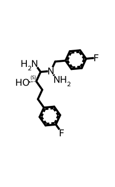 NC([C@@H](O)CCc1ccc(F)cc1)N(N)Cc1ccc(F)cc1